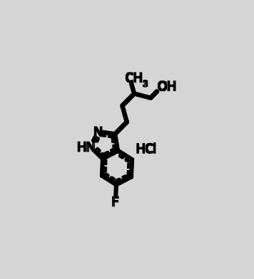 CC(CO)CCc1n[nH]c2cc(F)ccc12.Cl